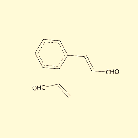 C=CC=O.O=C/C=C/c1ccccc1